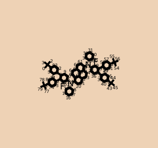 CC(C)(C)c1ccc(-c2ccc(N(c3ccccc3)c3ccc4ccc5c(N(c6ccccc6)c6ccc(-c7ccc(C(C)(C)C)cc7)c(-c7ccc(C(C)(C)C)cc7)c6F)ccc6ccc3c4c65)c(F)c2-c2ccc(C(C)(C)C)cc2)cc1